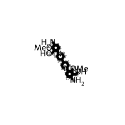 COc1c(N)ccc(N2CCC(C3CCN(c4ccc(N)c(CO)c4OC)CC3)CC2)c1CO